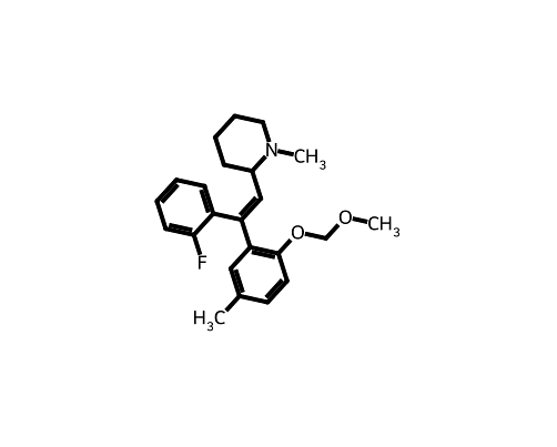 COCOc1ccc(C)cc1C(=CC1CCCCN1C)c1ccccc1F